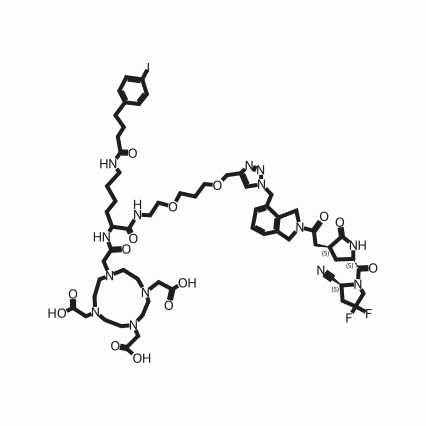 N#C[C@@H]1CC(F)(F)CN1C(=O)[C@@H]1C[C@@H](CC(=O)N2Cc3cccc(Cn4cc(COCCCOCCNC(=O)C(CCCCNC(=O)CCCc5ccc(I)cc5)NC(=O)CN5CCN(CC(=O)O)CCN(CC(=O)O)CCN(CC(=O)O)CC5)nn4)c3C2)C(=O)N1